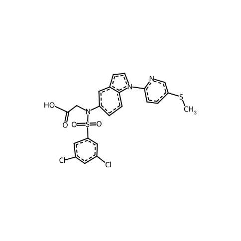 CSc1ccc(-n2ccc3cc(N(CC(=O)O)S(=O)(=O)c4cc(Cl)cc(Cl)c4)ccc32)nc1